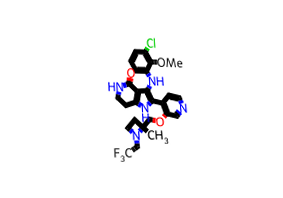 COc1c(Cl)cccc1Nc1c(-c2ccncc2OCC2(C)CCN2CC(F)(F)F)[nH]c2c1C(=O)NCC2